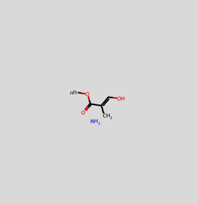 CCCOC(=O)C(C)=CO.N